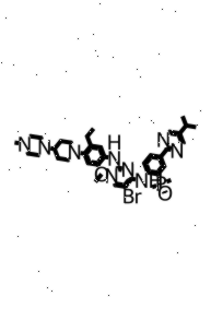 CCc1cc(Nc2ncc(Br)c(Nc3ccc(-c4ncc(C(C)C)cn4)cc3P(C)(C)=O)n2)c(OC)cc1N1CCC(N2CCN(C)CC2)CC1